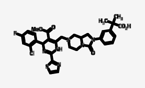 COC(=O)C1=C(CN2CCN3C(=O)N(c4cccc(C(C)(C)C(=O)O)c4)CC3C2)NC(c2nccs2)=NC1c1ccc(F)cc1Cl